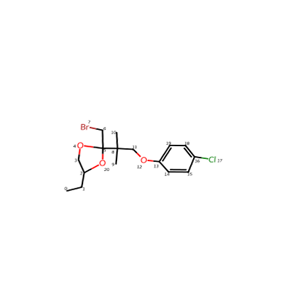 CCC1COC(CBr)(C(C)(C)COc2ccc(Cl)cc2)O1